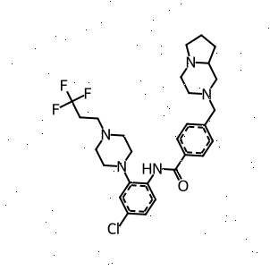 O=C(Nc1ccc(Cl)cc1N1CCN(CCC(F)(F)F)CC1)c1ccc(CN2CCN3CCCC3C2)cc1